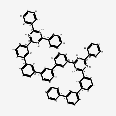 c1ccc(-c2cccc(-c3cccc(-c4nc(-c5ccccc5)nc(-c5cccc(-c6cccc(-c7cccc(-c8cccc(-c9nc(-c%10ccccc%10)nc(-c%10ccccc%10)n9)c8)c7)c6)c5)n4)c3)c2)cc1